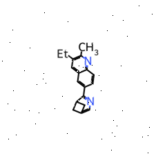 CCc1cc2cc(C3=NC=C4CC3C4)ccc2nc1C